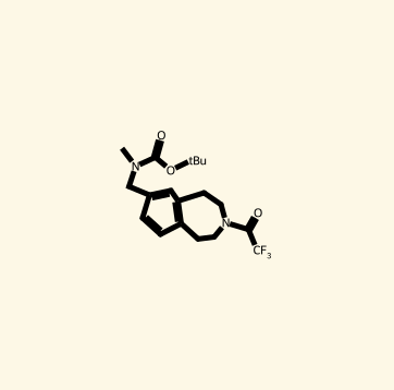 CN(Cc1ccc2c(c1)CCN(C(=O)C(F)(F)F)CC2)C(=O)OC(C)(C)C